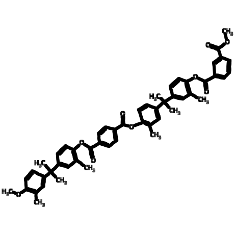 COC(=O)c1cccc(C(=O)Oc2ccc(C(C)(C)c3ccc(OC(=O)c4ccc(C(=O)Oc5ccc(C(C)(C)c6ccc(OC)c(C)c6)cc5C)cc4)c(C)c3)cc2C)c1